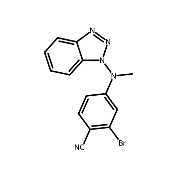 CN(c1ccc(C#N)c(Br)c1)n1nnc2ccccc21